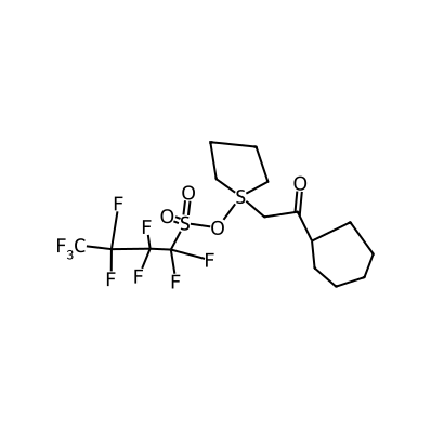 O=C(CS1(OS(=O)(=O)C(F)(F)C(F)(F)C(F)(F)C(F)(F)F)CCCC1)C1CCCCC1